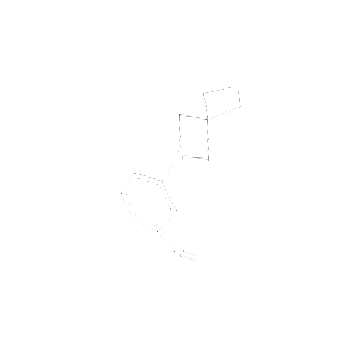 O=[N+]([O-])c1cccc(N2CC3(COC3)C2)c1